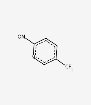 O=Nc1ccc(C(F)(F)F)cn1